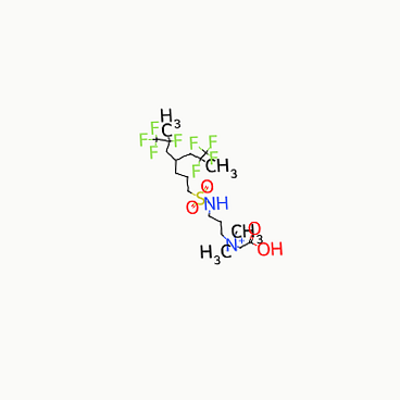 CC(F)(CC(CCCS(=O)(=O)NCCC[N+](C)(C)CC(=O)O)CC(C)(F)C(F)(F)F)C(F)(F)F